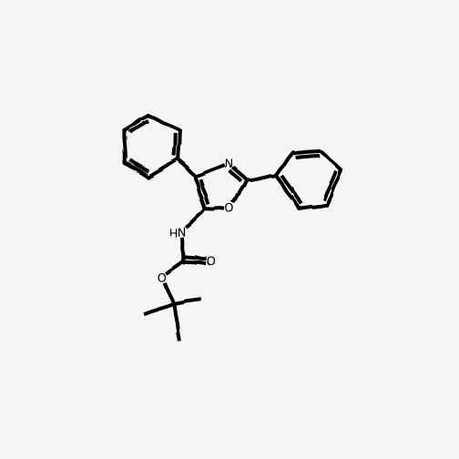 CC(C)(C)OC(=O)Nc1oc(-c2ccccc2)nc1-c1ccccc1